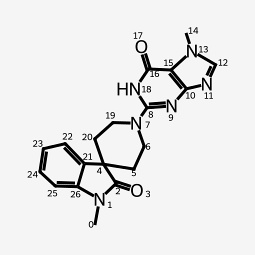 CN1C(=O)C2(CCN(c3nc4ncn(C)c4c(=O)[nH]3)CC2)c2ccccc21